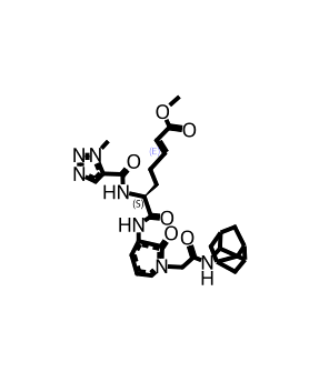 COC(=O)/C=C/CC[C@H](NC(=O)c1cnnn1C)C(=O)Nc1cccn(CC(=O)NC2C3CC4CC(C3)C2C4)c1=O